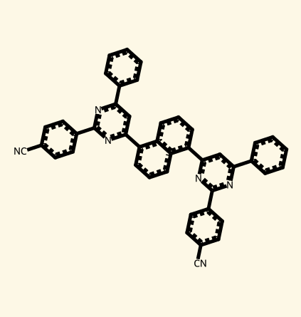 N#Cc1ccc(-c2nc(-c3ccccc3)cc(-c3cccc4c(-c5cc(-c6ccccc6)nc(-c6ccc(C#N)cc6)n5)cccc34)n2)cc1